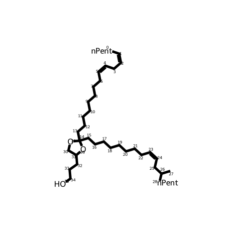 CCCCC/C=C\C/C=C\CCCCCCCCC1(CCCCCCCC/C=C\CC(C)CCCCC)OCC(CCCO)O1